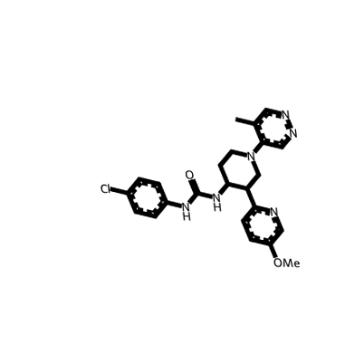 COc1ccc(C2CN(c3cnncc3C)CCC2NC(=O)Nc2ccc(Cl)cc2)nc1